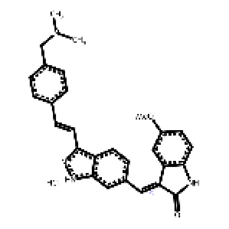 COc1ccc2c(c1)/C(=C\c1ccc3c(C=Cc4ccc(CN(C)C)cc4)n[nH]c3c1)C(=O)N2.Cl